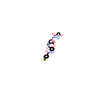 CN1C(=O)c2cc(NC(=O)c3ccc(C(F)(F)F)cc3)ccc2OC[C@@H]2O[C@H](CNC(=O)[C@@H]3CCC(=O)N3)CC[C@@H]21